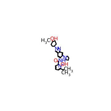 CC(C)c1cccc(C(=O)Nc2cc3cn([C@H]4CC[C@](C)(O)CC4)nc3cc2N2CCCC2)[n+]1O